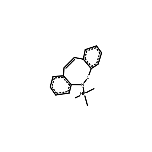 C[PH](C)(C)N1Cc2ccccc2/C=C\c2ccccc21